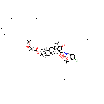 CC(C)C1=C2[C@H]3CC[C@@H]4[C@@]5(C)CC[C@H](OC(=O)CC(C)(C)C(=O)OC(C)(C)C)C(C)(C)[C@@H]5CC[C@@]4(C)[C@]3(C)CC[C@@]2([C@H](O)CN(Cc2ccc(Cl)cc2)C(=O)OC(C)(C)C)CC1=O